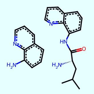 CC(C)C[C@H](N)C(=O)Nc1cccc2cccnc12.Nc1cccc2cccnc12